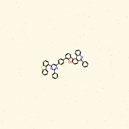 c1ccc(-c2nc(-c3ccc(-c4cccc5c4oc4ccc6c(-c7ccccc7)nc7ccccc7c6c45)cc3)cc(-c3cccc4sc5ccccc5c34)n2)cc1